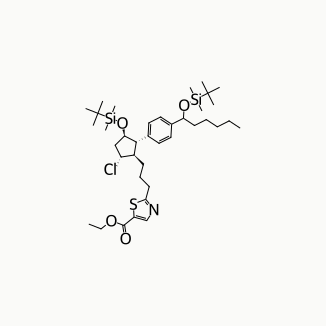 CCCCCC(O[Si](C)(C)C(C)(C)C)c1ccc([C@@H]2[C@@H](CCCc3ncc(C(=O)OCC)s3)[C@H](Cl)C[C@H]2O[Si](C)(C)C(C)(C)C)cc1